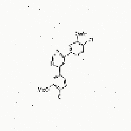 COc1cc(-c2cc(-c3ccc(Cl)c(OC)c3)ncn2)ccc1Cl